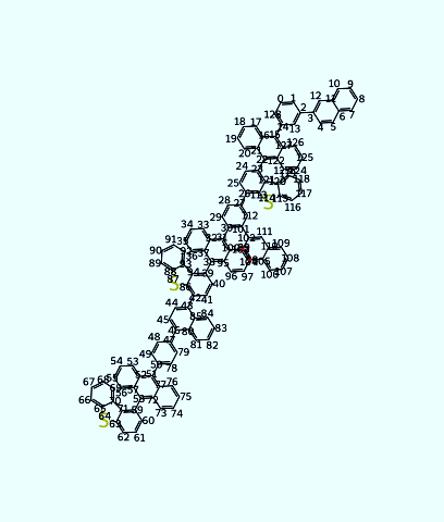 c1cc(-c2ccc3ccccc3c2)cc(-c2c3ccccc3c(-c3ccc(-c4ccc(-c5c6ccccc6c(-c6ccc(-c7ccc(-c8ccc(-c9c%10ccccc%10c(-c%10cccc%11sc%12ccccc%12c%10%11)c%10ccccc9%10)cc8)c8ccccc78)c7sc8ccccc8c67)c6ccccc56)c(-c5ccc6ccccc6c5)c4)c4sc5ccccc5c34)c3ccccc23)c1